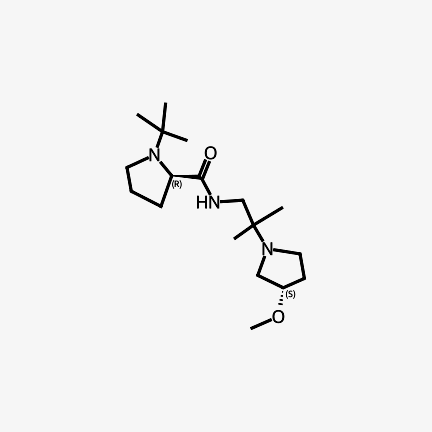 CO[C@H]1CCN(C(C)(C)CNC(=O)[C@H]2CCCN2C(C)(C)C)C1